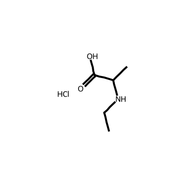 CCNC(C)C(=O)O.Cl